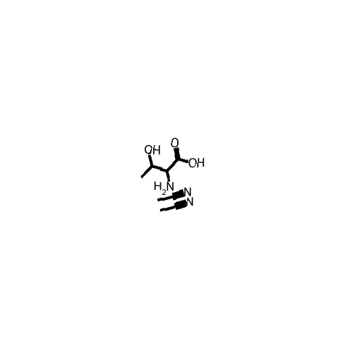 CC#N.CC#N.CC(O)C(N)C(=O)O